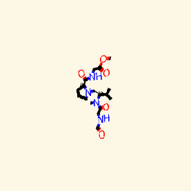 COC(=O)CNC(=O)[C@@H]1CCCN1C[C@H](C(C)C)N(C)C(=O)CNC=O